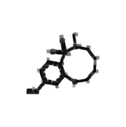 COc1ccc2c(c1)OCCCCN(C)S2(=O)=O